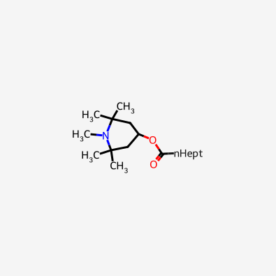 CCCCCCCC(=O)OC1CC(C)(C)N(C)C(C)(C)C1